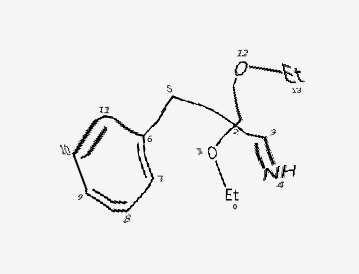 CCOC(C=N)(Cc1ccccc1)OCC